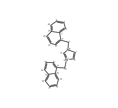 c1ccc2c(Cn3cc[n+](Cc4cccc5ccccc45)c3)cccc2c1